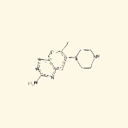 Nc1nnc2cc(F)c(N3CCNCC3)cc2n1